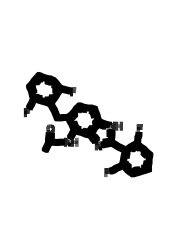 CC(=O)Nc1c(Cc2c(F)cccc2F)ccc2[nH]c(-c3c(F)cccc3F)nc12